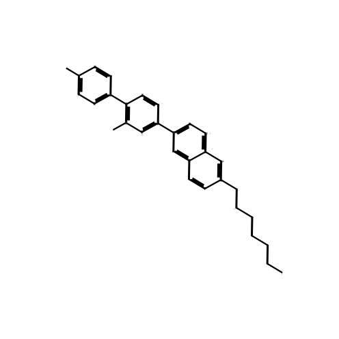 CCCCCCCc1ccc2cc(-c3ccc(-c4ccc(F)cc4)c(F)c3)ccc2c1